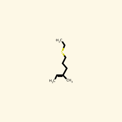 [CH2]CSCCCC(C)=CC